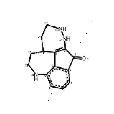 O=C1C2=C3c4c(cccc41)NCCC3CCNN2